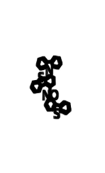 c1ccc2c(c1)sc1c(-n3c4ccccc4c4ccccc43)ccc(-c3nc4ccc5sc6ccccc6c5c4o3)c12